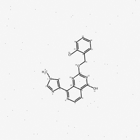 Cn1cnc(-c2nccc3c(O)nc(OCc4ccccc4Cl)nc23)c1